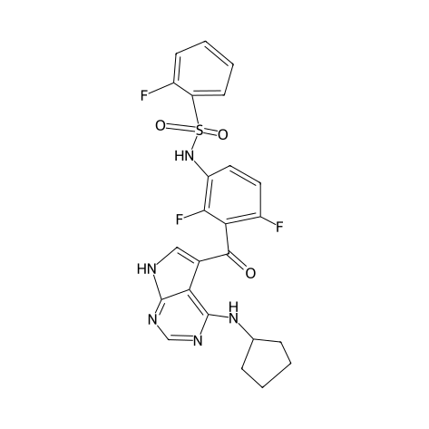 O=C(c1c(F)ccc(NS(=O)(=O)c2ccccc2F)c1F)c1c[nH]c2ncnc(NC3CCCC3)c12